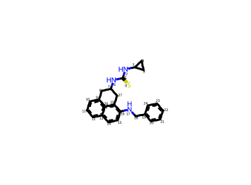 S=C(NC1CC1)NC1Cc2cccc3ccc(NCc4ccccc4)c(c23)C1